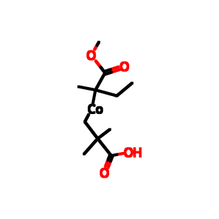 CC[C](C)([Co][CH2]C(C)(C)C(=O)O)C(=O)OC